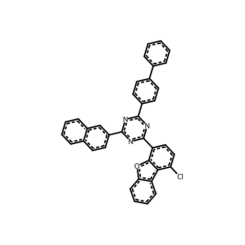 Clc1ccc(-c2nc(-c3ccc(-c4ccccc4)cc3)nc(-c3ccc4ccccc4c3)n2)c2oc3ccccc3c12